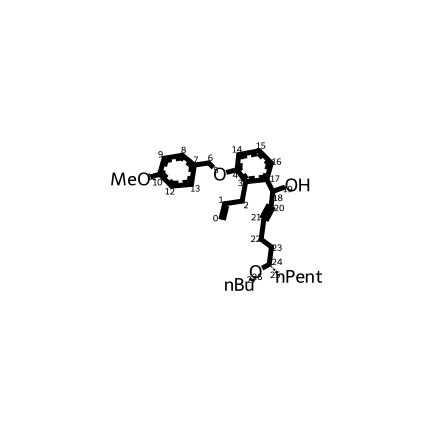 C=CCc1c(OCc2ccc(OC)cc2)cccc1C(O)C#CCC[C@H](CCCCC)OCCCC